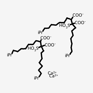 CC(C)CCCCCCCC(C(=O)[O-])C(CCCCCCCC(C)C)(C(=O)[O-])S(=O)(=O)O.CC(C)CCCCCCCC(C(=O)[O-])C(CCCCCCCC(C)C)(C(=O)[O-])S(=O)(=O)O.[Ca+2].[Ca+2]